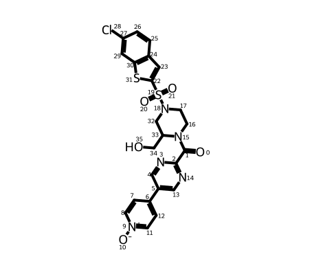 O=C(c1ncc(-c2cc[n+]([O-])cc2)cn1)N1CCN(S(=O)(=O)c2cc3ccc(Cl)cc3s2)CC1CO